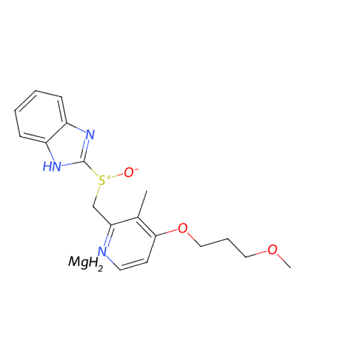 COCCCOc1ccnc(C[S+]([O-])c2nc3ccccc3[nH]2)c1C.[MgH2]